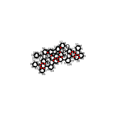 C1=CCC(C2=C(N3c4cc5c(cc4B4c6ccccc6Oc6cc(N(c7ccccc7)c7ccccc7-c7ccccc7)cc3c64)C3(c4cc6c(cc4O5)N(C4=C(C5C=CC=CC5)C=CCC4C4=CCCC=C4)c4cc(N(c5ccccc5)c5ccccc5)cc5c4B6c4ccccc4N5c4ccccc4)c4ccccc4-c4ccccc43)C(C3=CCCC=C3)CC=C2)C=C1